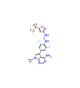 Nc1ncnc2c1c(-c1cc(F)c(NCNc3cc(C4(C(F)(F)F)CC4)on3)c(F)c1)cn2C1CC1